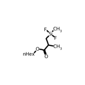 CCCCCCOC(=O)C(C)C[Si](C)(F)F